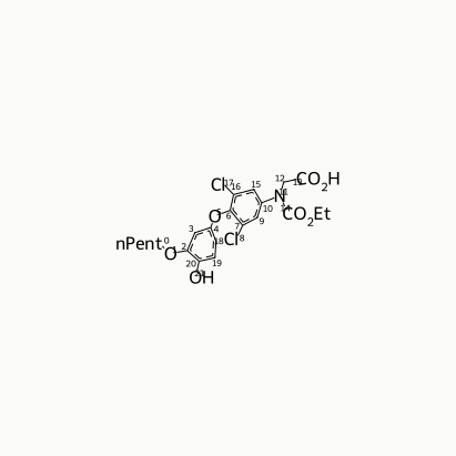 CCCCCOc1cc(Oc2c(Cl)cc(N(CC(=O)O)C(=O)OCC)cc2Cl)ccc1O